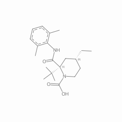 CC[C@@H]1CCN(C(=O)O)[C@](C(=O)Nc2c(C)cccc2C)(C(C)(C)C)C1